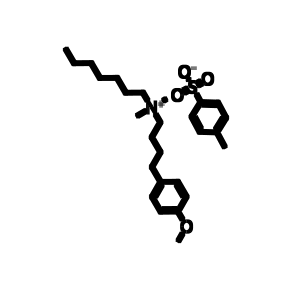 CCCCCCC[N+](C)(C)CCCCc1ccc(OC)cc1.Cc1ccc(S(=O)(=O)[O-])cc1